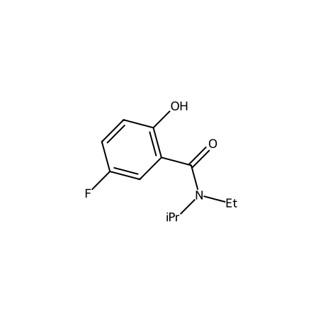 [13CH3][13CH2]N(C(=O)c1cc(F)ccc1O)[13CH]([13CH3])[13CH3]